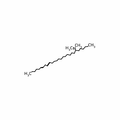 CCCCC/C=C/C/C=C/CCCCCCCCCCCC(CCCCCC)N(C)C